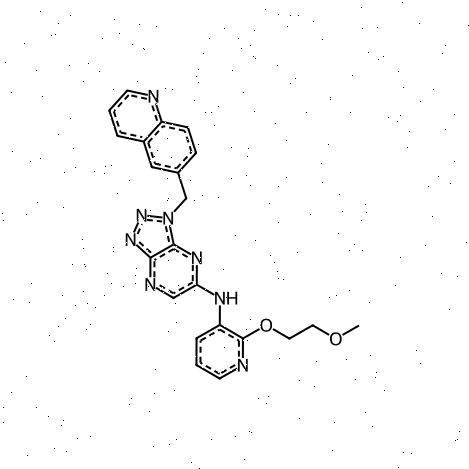 COCCOc1ncccc1Nc1cnc2nnn(Cc3ccc4ncccc4c3)c2n1